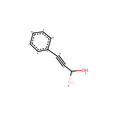 BC(O)C#Cc1ccccc1